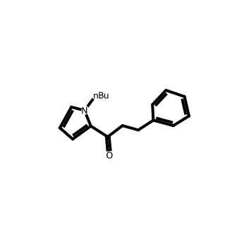 CCCCn1cccc1C(=O)CCc1ccccc1